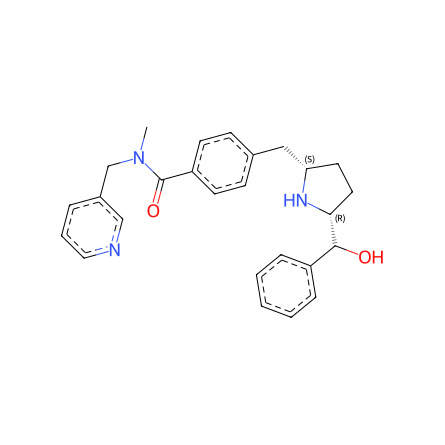 CN(Cc1cccnc1)C(=O)c1ccc(C[C@@H]2CC[C@H](C(O)c3ccccc3)N2)cc1